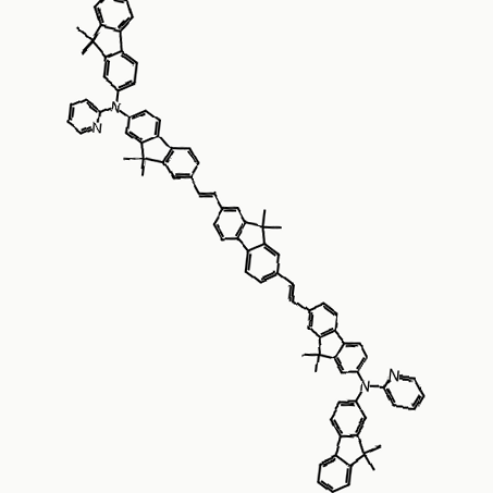 CC1(C)c2cc(/C=C/c3ccc4c(c3)C(C)(C)c3cc(N(c5ccc6c(c5)C(C)(C)c5ccccc5-6)c5ccccn5)ccc3-4)ccc2-c2ccc(/C=C/c3ccc4c(c3)C(C)(C)c3cc(N(c5ccc6c(c5)C(C)(C)c5ccccc5-6)c5ccccn5)ccc3-4)cc21